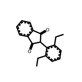 CCc1cccc(CC)c1C1C(=O)c2ccccc2C1=O